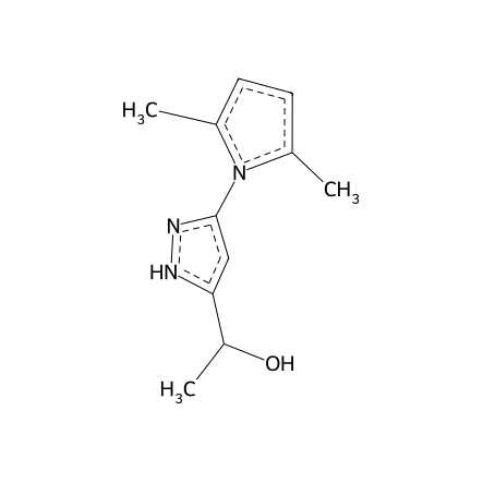 Cc1ccc(C)n1-c1cc(C(C)O)[nH]n1